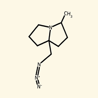 CC1CCC2(CN=[N+]=[N-])CCCN12